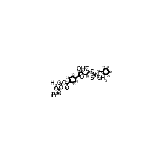 CC(C)OC(=O)OC(C)OC(=O)c1ccc(-c2ccc(/C=C(\C=O)SC(=S)N(C)Cc3ccccc3)o2)cc1